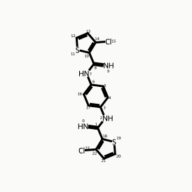 N=C(Nc1ccc(NC(=N)c2sccc2Cl)cc1)c1sccc1Cl